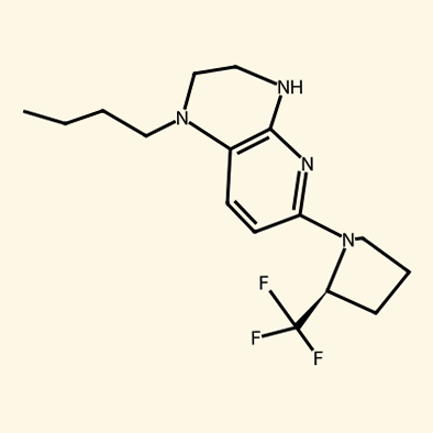 CCCCN1CCNc2nc(N3CCC[C@H]3C(F)(F)F)ccc21